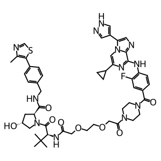 Cc1ncsc1-c1ccc(CNC(=O)[C@@H]2C[C@@H](O)CN2C(=O)[C@@H](NC(=O)COCCOCC(=O)N2CCN(C(=O)c3ccc(Nc4nc(C5CC5)cn5c(-c6cn[nH]c6)cnc45)c(F)c3)CC2)C(C)(C)C)cc1